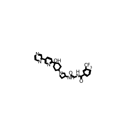 O=C(CNC(=O)c1cccc(C(F)(F)F)c1)NC1CCN(C2CCC(O)(c3ccc(-c4cnccn4)cn3)CC2)C1